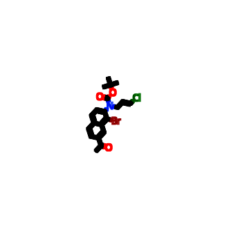 CC(=O)c1ccc2ccc(N(CC=CCl)C(=O)OC(C)(C)C)c(Br)c2c1